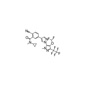 CN(C(=O)c1cc(-c2cnn(-c3c(OC(F)F)c(C(F)(F)C(F)(F)F)nn3C)c2)ccc1C#N)C1CC1